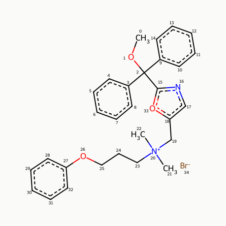 COC(c1ccccc1)(c1ccccc1)c1ncc(C[N+](C)(C)CCCOc2ccccc2)o1.[Br-]